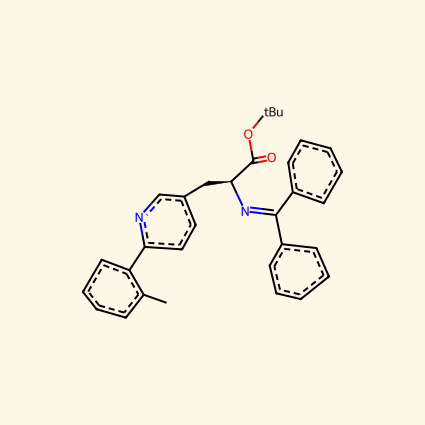 Cc1ccccc1-c1ccc(C[C@H](N=C(c2ccccc2)c2ccccc2)C(=O)OC(C)(C)C)cn1